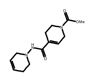 COC(=O)N1CC=C(C(=O)NN2CC=CCC2)CC1